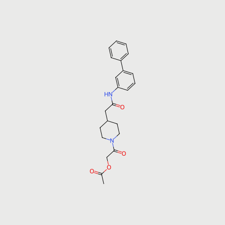 CC(=O)OCC(=O)N1CCC(CC(=O)Nc2cccc(-c3ccccc3)c2)CC1